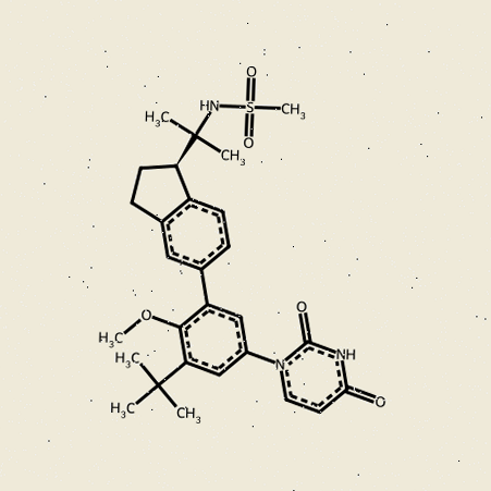 COc1c(-c2ccc3c(c2)CC[C@H]3C(C)(C)NS(C)(=O)=O)cc(-n2ccc(=O)[nH]c2=O)cc1C(C)(C)C